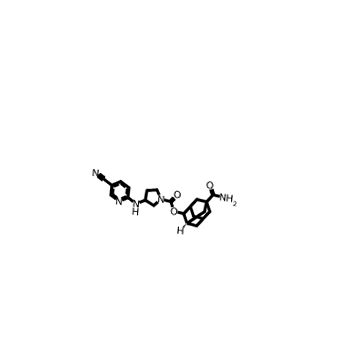 N#Cc1ccc(NC2CCN(C(=O)OC3C4CC5C[C@@H]3CC(C(N)=O)(C5)C4)C2)nc1